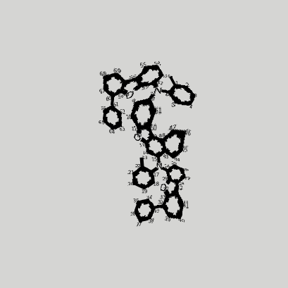 Cc1ccccc1N(c1ccc2oc3cc(N(c4ccccc4C)c4cccc5c4oc4c(-c6ccccc6)cccc45)c4ccccc4c3c2c1)c1cccc2c1oc1c(-c3ccccc3)cccc12